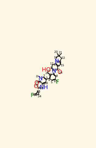 Cn1cc(-c2cc(F)cc(N3CCc4c(cc5n4CC(C)(C)C5)C3=O)c2CO)cc(NC(=O)[C@@H]2C[C@@H]2F)c1=O